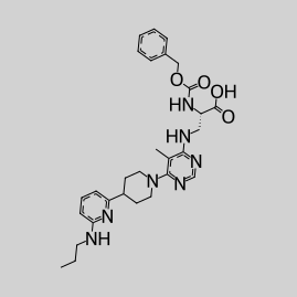 CCCNc1cccc(C2CCN(c3ncnc(NC[C@H](NC(=O)OCc4ccccc4)C(=O)O)c3C)CC2)n1